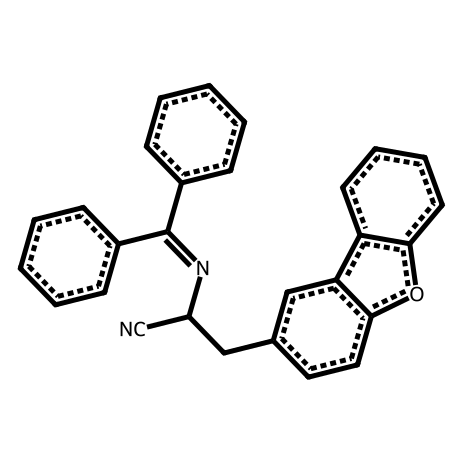 N#CC(Cc1ccc2oc3ccccc3c2c1)N=C(c1ccccc1)c1ccccc1